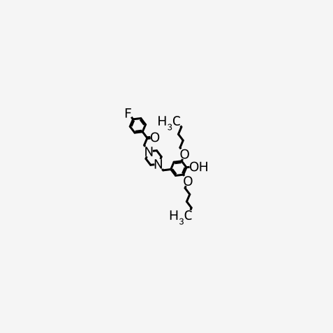 CCCCCOc1cc(CN2CCN(CC(=O)c3ccc(F)cc3)CC2)cc(OCCCCC)c1O